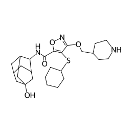 O=C(NC1C2CC3CC1CC(O)(C3)C2)c1onc(OCC2CCNCC2)c1SC1CCCCC1